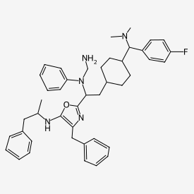 CC(Cc1ccccc1)Nc1oc(C(CC2CCC(C(c3ccc(F)cc3)N(C)C)CC2)N(CN)c2ccccc2)nc1Cc1ccccc1